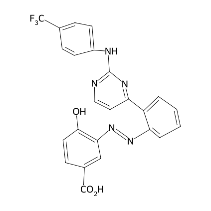 O=C(O)c1ccc(O)c(N=Nc2ccccc2-c2ccnc(Nc3ccc(C(F)(F)F)cc3)n2)c1